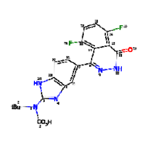 CC(C)(C)N(C(=O)O)c1nc2cc(-c3n[nH]c(=O)c4c(F)ccc(F)c34)ccc2[nH]1